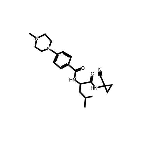 CC(C)CC(NC(=O)c1ccc(N2CCN(C)CC2)cc1)C(=O)NC1(C#N)CC1